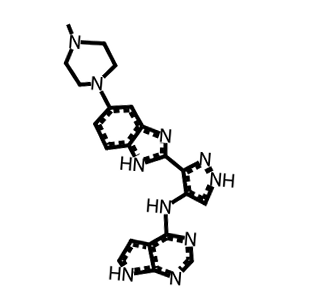 CN1CCN(c2ccc3[nH]c(-c4n[nH]cc4Nc4ncnc5[nH]ccc45)nc3c2)CC1